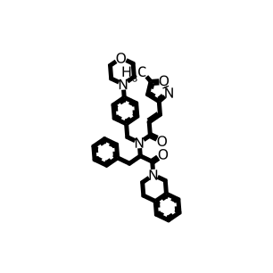 Cc1cc(C=CC(=O)N(Cc2ccc(N3CCOCC3)cc2)C(Cc2ccccc2)C(=O)N2CCc3ccccc3C2)no1